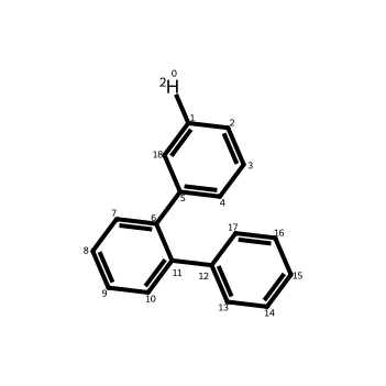 [2H]c1cccc(-c2ccccc2-c2ccccc2)c1